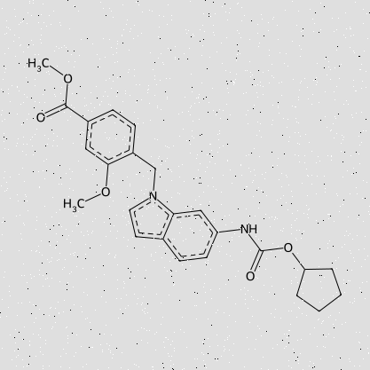 COC(=O)c1ccc(Cn2ccc3ccc(NC(=O)OC4CCCC4)cc32)c(OC)c1